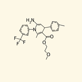 COCCOC(=O)C1=C(C)N(c2cccc(C(F)(F)F)c2)C(N)=CC1c1ccc(C)cc1